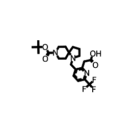 CC(C)(C)OC(=O)N1CCC2(CCCN2Cc2ccc(C(F)(F)F)nc2CC(=O)O)CC1